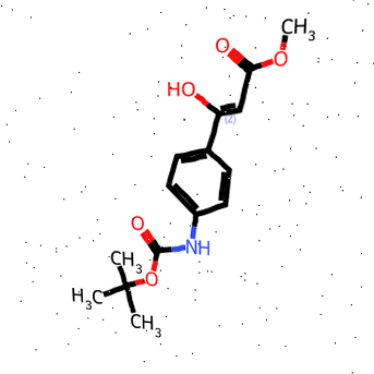 COC(=O)/C=C(\O)c1ccc(NC(=O)OC(C)(C)C)cc1